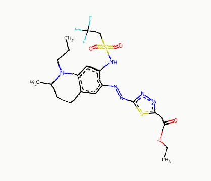 CCCN1c2cc(NS(=O)(=O)CC(F)(F)F)c(N=Nc3nnc(C(=O)OCC)s3)cc2CCC1C